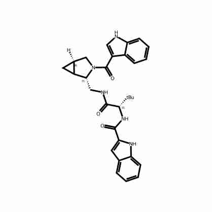 CC(C)(C)[C@H](NC(=O)c1cc2ccccc2[nH]1)C(=O)NC[C@@H]1C2C[C@H]2CN1C(=O)c1c[nH]c2ccccc12